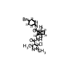 Cc1nn(C)c(Cl)c1C(=O)NC[C@H]1[C@H](C(=O)Nc2ccc(Br)cc2)[C@@H]2C=C[C@H]1C21CC1